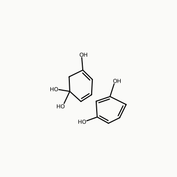 OC1=CC=CC(O)(O)C1.Oc1cccc(O)c1